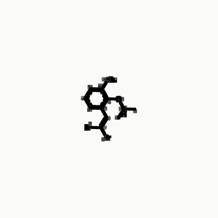 C[SiH](C)Oc1c(C=C(Br)Br)cccc1C(C)(C)C